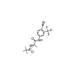 C/C(=N\[S@@+]([O-])C(C)(C)C)C(=O)Nc1ccc(C#N)c(C(F)(F)F)c1